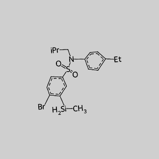 CCc1ccc(N(CC(C)C)S(=O)(=O)c2ccc(Br)c([SiH2]C)c2)cc1